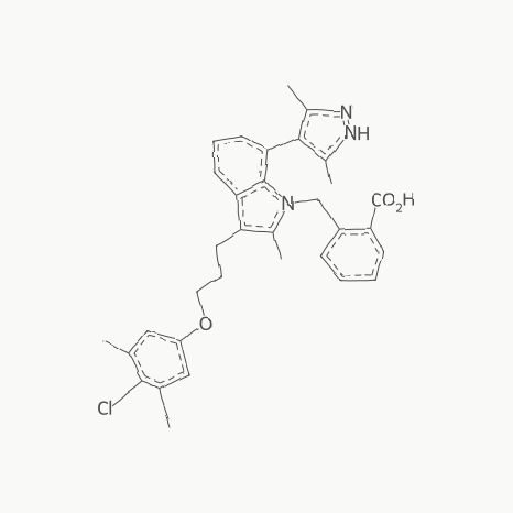 Cc1cc(OCCCc2c(C)n(Cc3ccccc3C(=O)O)c3c(-c4c(C)n[nH]c4C)cccc23)cc(C)c1Cl